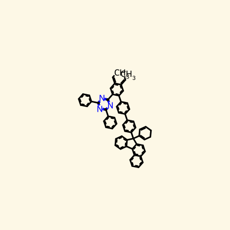 C/C=c1/cc(-c2ccc(-c3ccc(C4(C5=CCCC=C5)c5ccccc5-c5c4ccc4ccccc54)cc3)cc2)c(-c2nc(-c3ccccc3)nc(-c3ccccc3)n2)c/c1=C/C